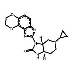 O=C1N[C@H]2CCN(C3CC3)C[C@H]2N1c1nc2c3c(ccc2s1)OCCO3